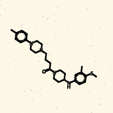 CSc1ccc(NC2CCN(C(=O)CCCN3CCN(c4ccc(C)cc4)CC3)CC2)cc1C